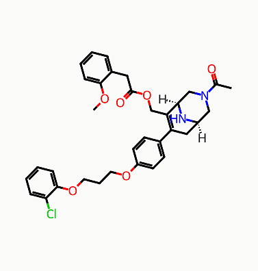 COc1ccccc1CC(=O)OCC1=C(c2ccc(OCCCOc3ccccc3Cl)cc2)C[C@@H]2CN(C(C)=O)C[C@H]1N2